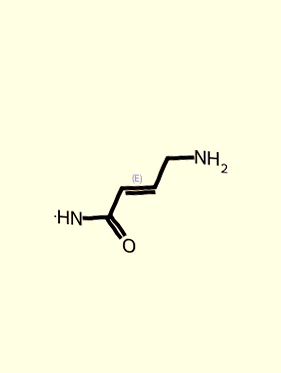 [NH]C(=O)/C=C/CN